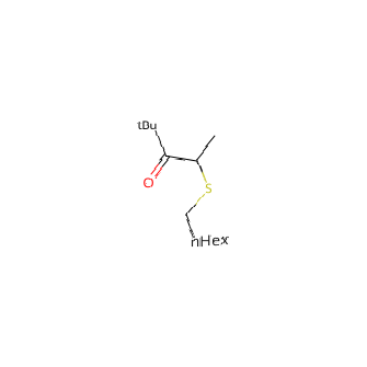 CCCCCCCSC(C)C(=O)C(C)(C)C